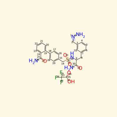 N/N=C\c1cccc(CC(NS(=O)(=O)Cc2ccc(-c3ccccc3C(N)=O)cc2)C(N)=O)c1.O=C(O)C(F)(F)F